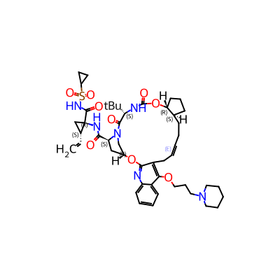 C=C[C@@H]1C[C@]1(NC(=O)[C@@H]1C[C@@H]2CN1C(=O)[C@H](C(C)(C)C)NC(=O)O[C@@H]1CCC[C@H]1CC/C=C/Cc1c(nc3ccccc3c1OCCCN1CCCCC1)O2)C(=O)NS(=O)(=O)C1CC1